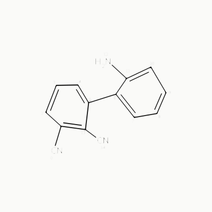 N#Cc1cccc(-c2ccccc2N)c1C#N